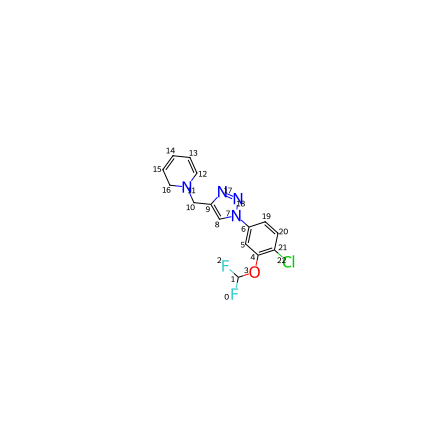 FC(F)Oc1cc(-n2cc(CN3C=CC=CC3)nn2)ccc1Cl